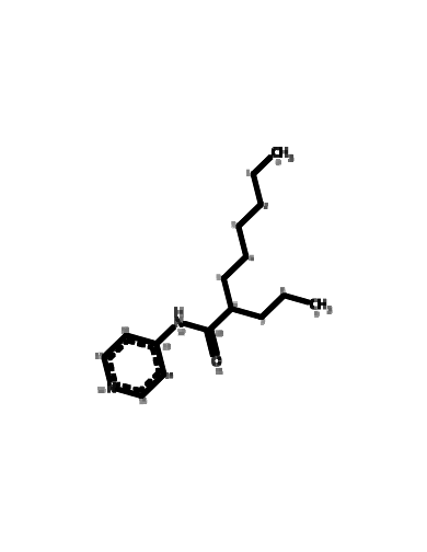 CCCCCCC(CCC)C(=O)Nc1ccncc1